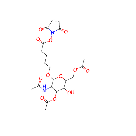 CC(=O)NC1C(OCCCCC(=O)ON2C(=O)CCC2=O)OC(COC(C)=O)C(O)C1OC(C)=O